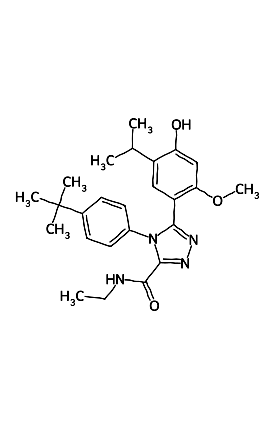 CCNC(=O)c1nnc(-c2cc(C(C)C)c(O)cc2OC)n1-c1ccc(C(C)(C)C)cc1